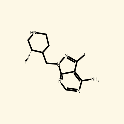 Nc1ncnc2c1c(I)nn2CC1CCNC[C@H]1F